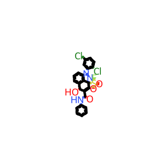 O=C(Nc1ccccc1)C1=CC(/N=N/c2cc(Cl)ccc2Cl)(S(=O)(=O)F)c2ccccc2C1O